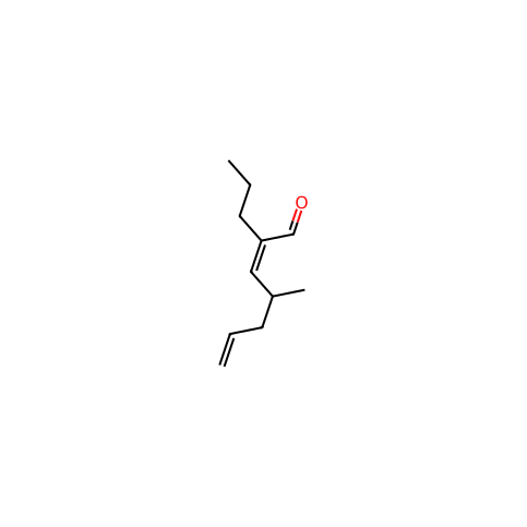 C=CCC(C)C=C(C=O)CCC